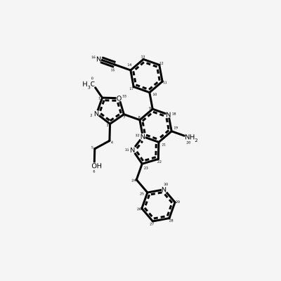 Cc1nc(CCO)c(-c2c(-c3cccc(C#N)c3)nc(N)c3cc(Cc4ccccn4)nn23)o1